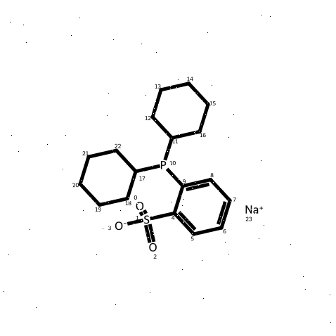 O=S(=O)([O-])c1ccccc1P(C1CCCCC1)C1CCCCC1.[Na+]